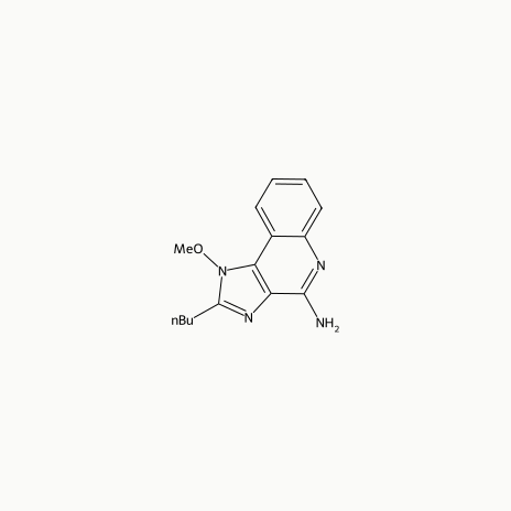 CCCCc1nc2c(N)nc3ccccc3c2n1OC